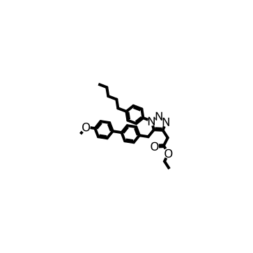 CCCCCc1ccc(-n2nnc(CC(=O)OCC)c2Cc2ccc(-c3ccc(OC)cc3)cc2)cc1